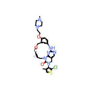 Cc1csc(Cl)c1N1Cc2cnc3nc2N(C/C=C\COCc2cc(ccc2OCCN2CCN(C)CC2)N3)C1=O